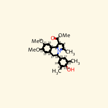 COC(=O)c1cc(C)n2c1-c1cc(OC)c(OC)cc1CC2c1cc(C)c(O)c(C)c1